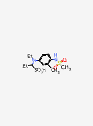 CCC(N(CC)c1ccc(NS(C)(=O)=O)c(C)c1)S(=O)(=O)O